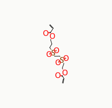 C=CC(=O)OCCCS(=O)(=O)CCS(=O)(=O)CCOC(=O)C=C